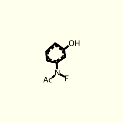 CC(=O)N(F)c1cccc(O)c1